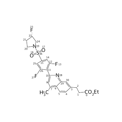 CCOC(=O)CCc1ccc2c(C)cc(-c3c(F)cc(S(=O)(=O)N4CC[C@H](F)C4)cc3F)nc2c1